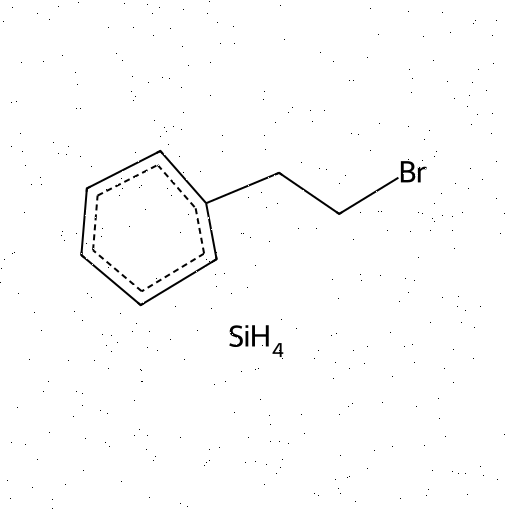 BrCCc1ccccc1.[SiH4]